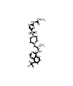 COC(=O)Nc1ncc(S(=O)(=O)N2CCN(C[C@H](C)Nc3ncnc4c(C(F)(F)F)cccc34)CC2)s1